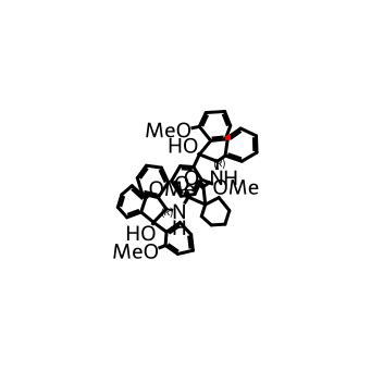 COc1ccccc1C(O)(c1ccccc1OC)[C@H](NC(=O)C1(C(=O)N[C@H](c2ccccc2)C(O)(c2ccccc2OC)c2ccccc2OC)CCCCC1)c1ccccc1